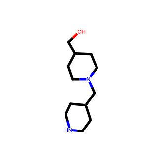 OCC1CCN(CC2CCNCC2)CC1